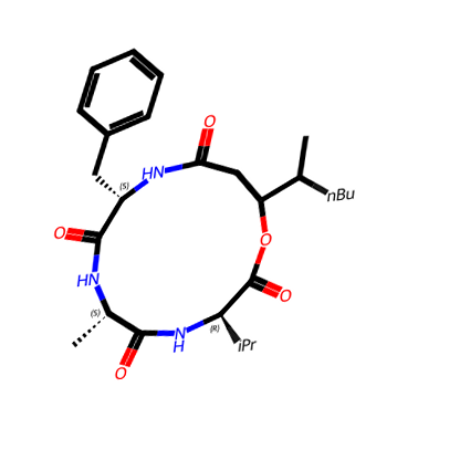 CCCCC(C)C1CC(=O)N[C@@H](Cc2ccccc2)C(=O)N[C@@H](C)C(=O)N[C@H](C(C)C)C(=O)O1